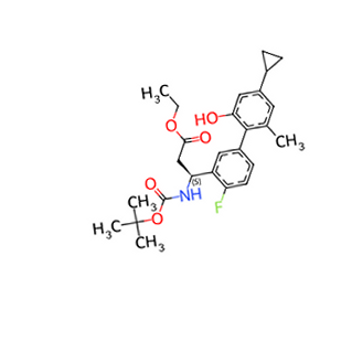 CCOC(=O)C[C@H](NC(=O)OC(C)(C)C)c1cc(-c2c(C)cc(C3CC3)cc2O)ccc1F